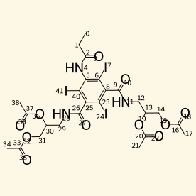 CCC(=O)Nc1c(I)c(C(=O)NCC(COC(C)=O)OC(C)=O)c(I)c(C(=O)NCC(COC(C)=O)OC(C)=O)c1I